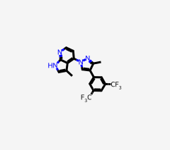 Cc1nn(-c2ccnc3[nH]cc(C)c23)cc1-c1cc(C(F)(F)F)cc(C(F)(F)F)c1